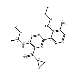 CCCNc1c(N)cccc1-c1ccc(N[C@@H](C)CC)c(C(=N)C2CC2)c1